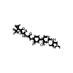 Cc1nn(C)cc1Nc1ncc(-c2ccc(CC(=O)Nc3cc(C4(C(F)(F)F)CC4)on3)c(F)c2)c(Cl)n1